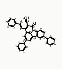 C#Cc1c(/C=C(\C)c2ccccc2)c2cc(-c3ccccc3)cc3c4cc(-c5ccccc5)ccc4n(c1=O)c23